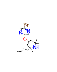 CCCCC1(C)CC(Oc2cnc(Br)cn2)CC(C)(C)N1